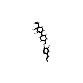 C/C=C/c1ccc(OCC2CCC(c3ccc(C4CO4)c(F)c3F)CC2)c(F)c1